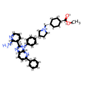 COC(=O)[C@H]1CC[C@H](CN2CC[C@H](c3ccc(-n4c(-c5cccnc5N)nc5ccc(-c6ccccc6)nc54)cc3)C2)CC1